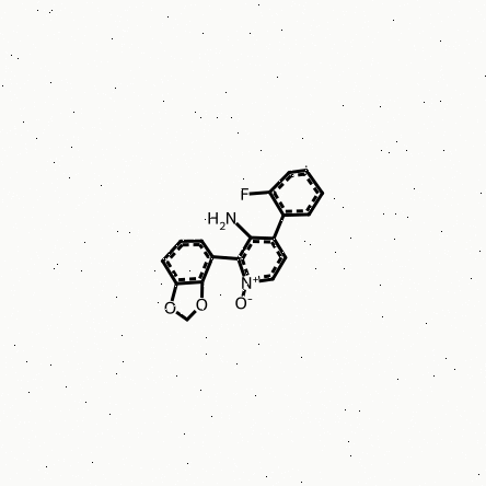 Nc1c(-c2cc[c]cc2F)cc[n+]([O-])c1-c1cccc2c1OCO2